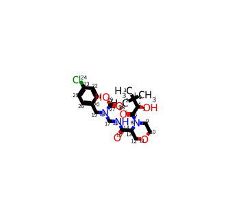 CC(C)(C)C(O)C(=O)N1CCOCC1C(=O)NCN(Cc1ccc(Cl)cc1)C(=O)O